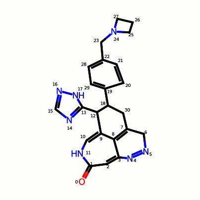 O=C1C=C2N=NCC3=C2C(=CN1)C(c1ncn[nH]1)C(c1ccc(CN2CCC2)cc1)C3